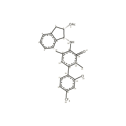 CC(=O)O[C@H]1Cc2ccccc2[C@H]1Nc1c(C)nc(-c2ccc(C(F)(F)F)cc2Cl)n(C)c1=O